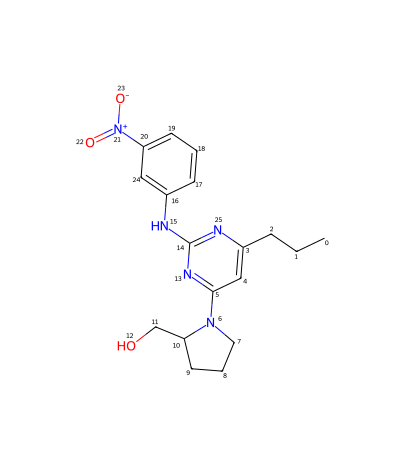 CCCc1cc(N2CCCC2CO)nc(Nc2cccc([N+](=O)[O-])c2)n1